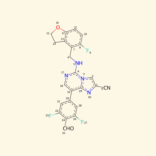 N#Cc1cn2c(NCc3c(F)ccc4c3CCO4)ncc(-c3cc(F)c(C=O)c(F)c3)c2n1